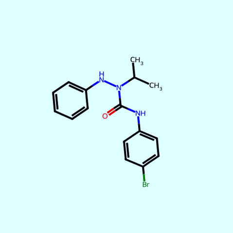 CC(C)N(Nc1ccccc1)C(=O)Nc1ccc(Br)cc1